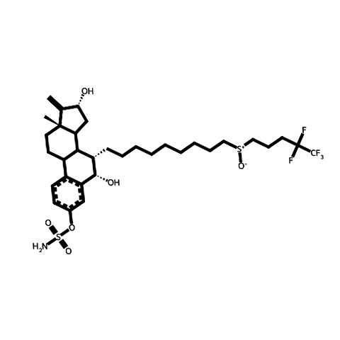 C=C1[C@H](O)CC2C3C(CC[C@]12C)c1ccc(OS(N)(=O)=O)cc1[C@@H](O)[C@H]3CCCCCCCCC[S+]([O-])CCCC(F)(F)C(F)(F)F